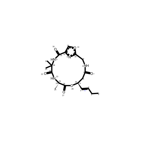 [CH2]C/C=C/[C@@H]1CC(=O)NCc2nc(co2)C(=O)NC(C)(C)C(=O)N[C@@H](C)C(=O)O1